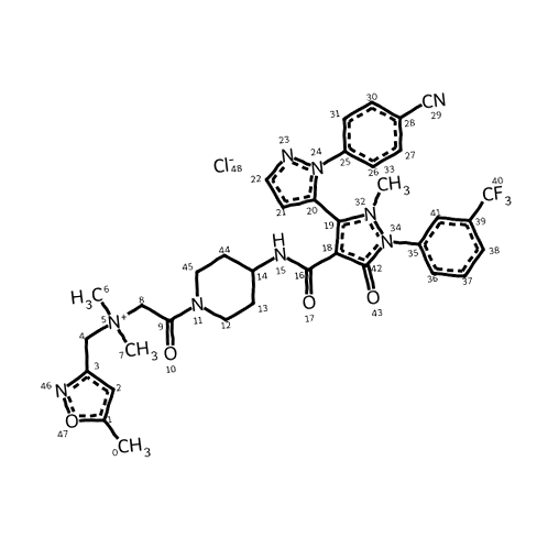 Cc1cc(C[N+](C)(C)CC(=O)N2CCC(NC(=O)c3c(-c4ccnn4-c4ccc(C#N)cc4)n(C)n(-c4cccc(C(F)(F)F)c4)c3=O)CC2)no1.[Cl-]